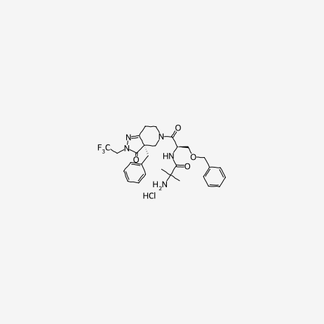 CC(C)(N)C(=O)N[C@H](COCc1ccccc1)C(=O)N1CCC2=NN(CC(F)(F)F)C(=O)[C@]2(Cc2ccccc2)C1.Cl